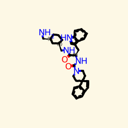 NC[C@H]1CCC[C@@H](CNC(=O)[C@@H](Cc2c[nH]c3ccccc23)NC(=O)N2CCC3(C=Cc4ccccc43)CC2)C1